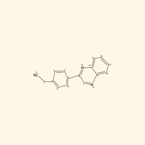 N#CCc1ccc(-c2cnc3ccccc3n2)cc1